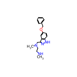 CNCCN(C)Cc1n[nH]c2ccc(OCc3ccccc3)cc12